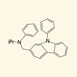 CC(C)N(Cc1ccc2c3ccccc3n(-c3ccccc3)c2c1)c1ccccc1